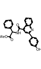 COC(=O)C(NC(=O)c1cc(-c2ccc(O)cc2)nc2ccccc12)c1ccccc1